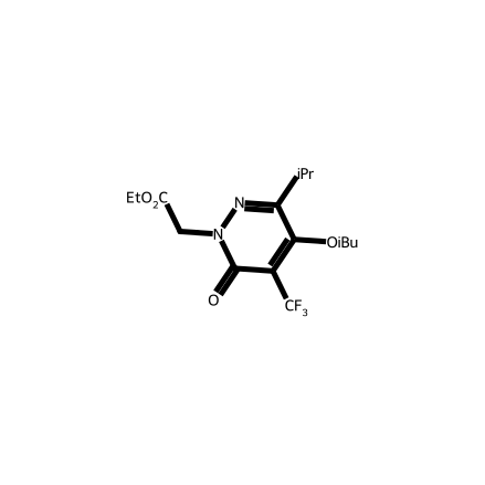 CCOC(=O)Cn1nc(C(C)C)c(OCC(C)C)c(C(F)(F)F)c1=O